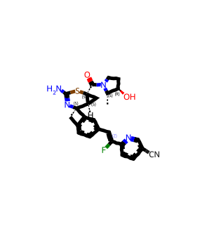 C[C@H]1[C@H](O)CCN1C(=O)[C@]12C[C@H]1[C@]1(Cc3ccc(/C=C(\F)c4ccc(C#N)cn4)cc31)N=C(N)S2